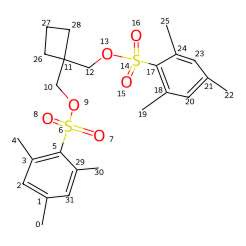 Cc1cc(C)c(S(=O)(=O)OCC2(COS(=O)(=O)c3c(C)cc(C)cc3C)CCC2)c(C)c1